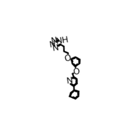 c1ccc(-c2ccc(COc3cccc(OCCCc4nnn[nH]4)c3)nc2)cc1